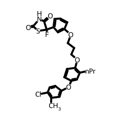 CCCc1cc(Oc2ccc(Cl)c(C)c2)ccc1OCCCOc1cccc(C2(F)SC(=O)NC2=O)c1